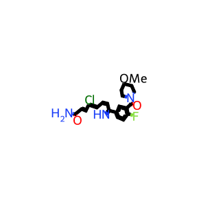 COC1CCN(C(=O)c2cc(C(=N)\C=C/C=C(Cl)/C=C/C(N)=O)ccc2F)CC1